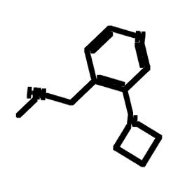 CNCc1ccncc1N1CCC1